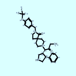 CCC(=O)C([C@@H]1CNC[C@@H]1c1ccccc1)N1CCC2(CCN(Cc3ccc(OC(F)(F)F)cc3)C2=O)CC1